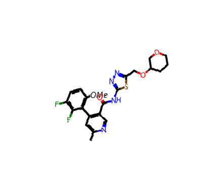 COc1ccc(F)c(F)c1-c1cc(C)ncc1C(=O)Nc1nnc(COC2CCCOC2)s1